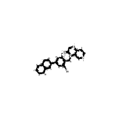 O=c1cnc2ccncc2n1Cc1c(F)cc(-c2ccc3ccccc3c2)cc1F